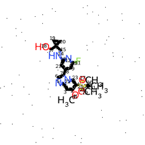 COc1cc2ncc(-c3cc(F)nc(NCC4(CO)CC4)c3)n2cc1S(=O)(=O)C(C)(C)C